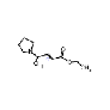 CCOC(=O)/C=C/C(C)N1CCCC1